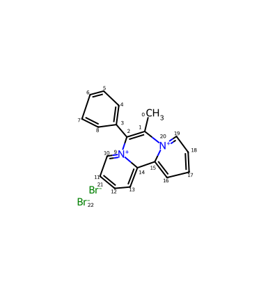 Cc1c(-c2ccccc2)[n+]2ccccc2c2cccc[n+]12.[Br-].[Br-]